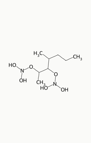 CCCC(C)C(ON(O)O)C(C)ON(O)O